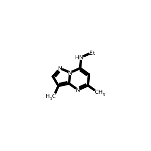 CCNc1cc(C)nc2c(C)cnn12